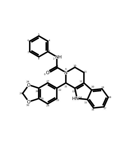 O=C(Nc1ccccc1)N1CCc2c([nH]c3ccccc23)C1c1ccc2c(c1)OCO2